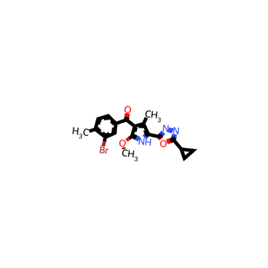 COc1[nH]c(-c2nnc(C3CC3)o2)c(C)c1C(=O)c1ccc(C)c(Br)c1